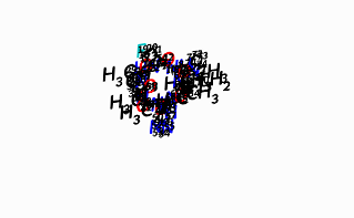 C=CC(C)(C)n1cc(C[C@@H]2NC(=O)[C@H](Cc3ccc(F)cc3)NC(=O)[C@H](CC(C)C)N3CCC[C@@H](C3=O)N(C)C(=O)[C@H](C)NC(=O)[C@H](Cc3ccc4nccnc4c3)NC(=O)[C@H](CC(C)C)N(C)C2=O)c2ccccc21